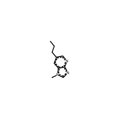 CCCc1cnc2ncn(C)c2c1